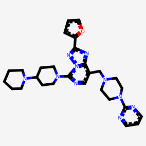 c1cnc(N2CCN(Cc3cnc(N4CCC(N5CCCCC5)CC4)n4nc(-c5ccco5)nc34)CC2)nc1